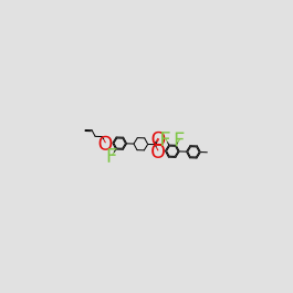 C=CCCOc1ccc(C2CCC(C(=O)Oc3ccc(-c4ccc(C)cc4)c(F)c3F)CC2)cc1F